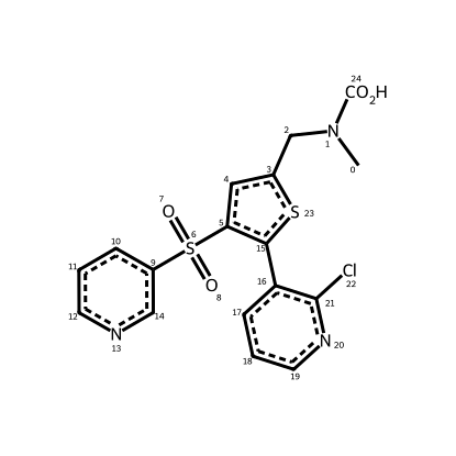 CN(Cc1cc(S(=O)(=O)c2cccnc2)c(-c2cccnc2Cl)s1)C(=O)O